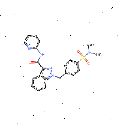 CON(C)S(=O)(=O)c1ccc(Cn2nc(C(=O)Nc3ccccn3)c3ccccc32)cc1